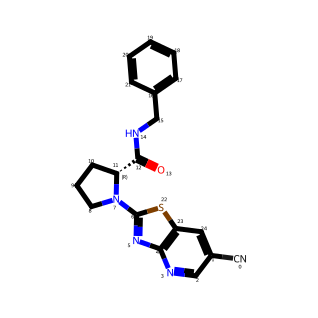 N#Cc1cnc2nc(N3CCC[C@@H]3C(=O)NCc3ccccc3)sc2c1